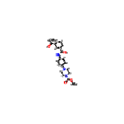 COC(=O)c1cccc(C(=O)Nc2ccc(N3CCN(C(=O)OC(C)(C)C)CC3)cc2)c1